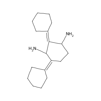 NC1CCC(=C2CCCCC2)C(N)C1=C1CCCCC1